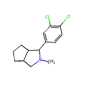 CN1CC2CCCC2C1c1ccc(Cl)c(Cl)c1